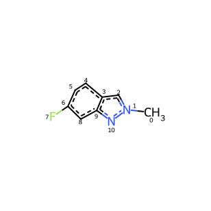 Cn1cc2ccc(F)cc2n1